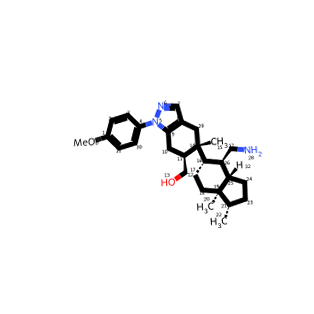 COc1ccc(-n2ncc3c2C[C@H](CO)[C@@](C)([C@H]2CC[C@]4(C)[C@@H](C)CC[C@H]4[C@@H]2CN)C3)cc1